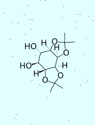 CC1(C)O[C@@H]2[C@@H]3OC(C)(C)O[C@@H]3[C@@H](O)[C@H](O)[C@H]2O1